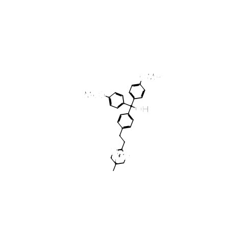 COc1ccc(C(O)(c2ccc(CCC34OCC(C)(CO3)CO4)cc2)c2ccc(OC)cc2)cc1